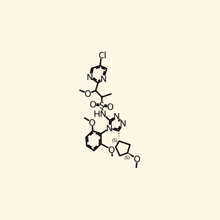 COc1cccc(OC)c1-n1c(NS(=O)(=O)C(C)C(OC)c2ncc(Cl)cn2)nnc1[C@H]1CC[C@H](OC)C1